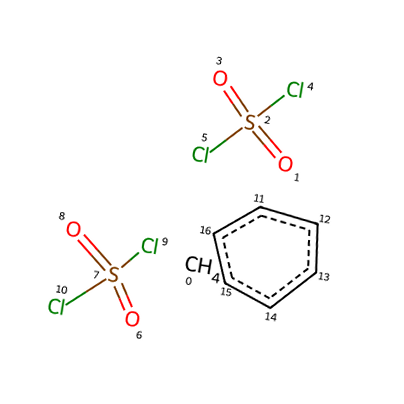 C.O=S(=O)(Cl)Cl.O=S(=O)(Cl)Cl.c1ccccc1